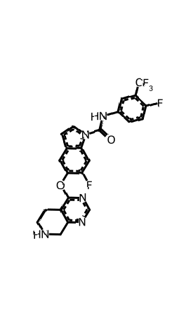 O=C(Nc1ccc(F)c(C(F)(F)F)c1)n1ccc2cc(Oc3ncnc4c3CCNC4)c(F)cc21